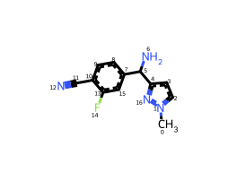 Cn1ccc(C(N)c2ccc(C#N)c(F)c2)n1